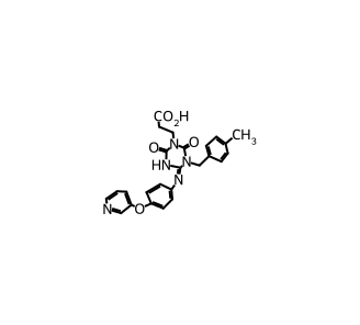 Cc1ccc(Cn2c(=O)n(CCC(=O)O)c(=O)[nH]/c2=N\c2ccc(Oc3cccnc3)cc2)cc1